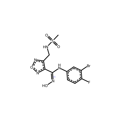 CS(=O)(=O)NCc1nonc1/C(=N\O)Nc1ccc(F)c(Br)c1